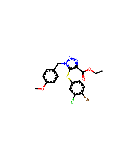 CCOC(=O)c1nnn(Cc2ccc(OC)cc2)c1Sc1ccc(Br)c(Cl)c1